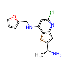 C[C@H](N)c1cc2nc(Cl)cc(NCc3ccco3)c2s1